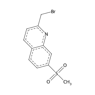 CS(=O)(=O)c1ccc2ccc(CBr)nc2c1